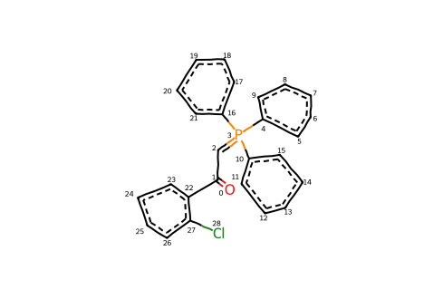 O=C(C=P(c1ccccc1)(c1ccccc1)c1ccccc1)c1ccccc1Cl